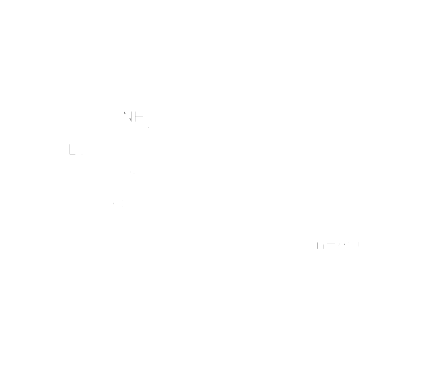 CCCCCCCCCCCCCC(=O)C(N)CC